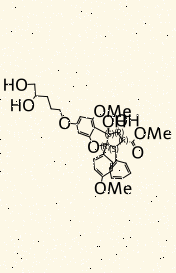 COC(=O)[C@H]1[C@@H](O)[C@@]2(O)c3c(OC)cc(OCCCC(O)CO)cc3O[C@@]2(c2ccc(OC)cc2)[C@@H]1c1ccccc1